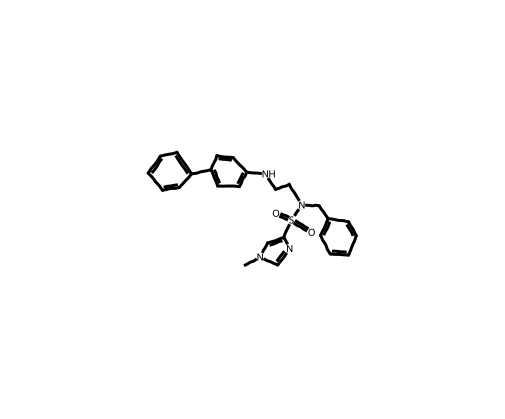 Cn1cnc(S(=O)(=O)N(CCNc2ccc(-c3ccccc3)cc2)Cc2ccccc2)c1